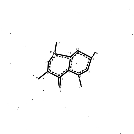 Cc1cc(C)c2c(=S)c(C)cn(C)c2c1